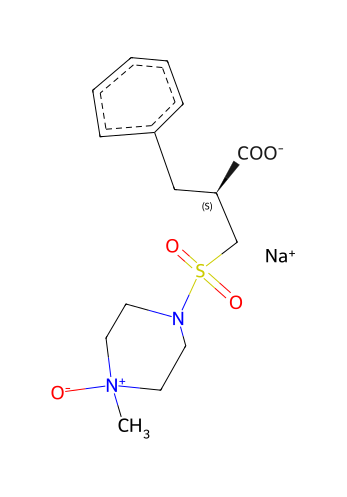 C[N+]1([O-])CCN(S(=O)(=O)C[C@@H](Cc2ccccc2)C(=O)[O-])CC1.[Na+]